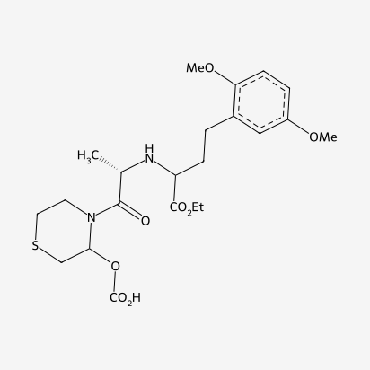 CCOC(=O)C(CCc1cc(OC)ccc1OC)N[C@@H](C)C(=O)N1CCSCC1OC(=O)O